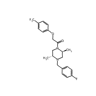 C[C@@H]1CN(C(=O)COc2ccc(C(F)(F)F)cc2)[C@@H](C)CN1Cc1ccc(F)cc1